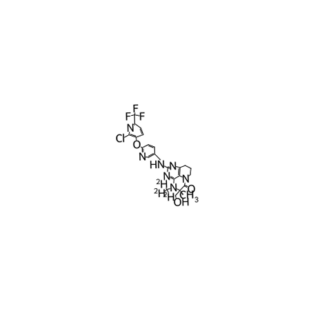 [2H]C([2H])([2H])N1c2nc(NCc3ccc(Oc4ccc(C(F)(F)F)nc4Cl)nc3)nc3c2N(CCC3)C(=O)[C@]1(C)CO